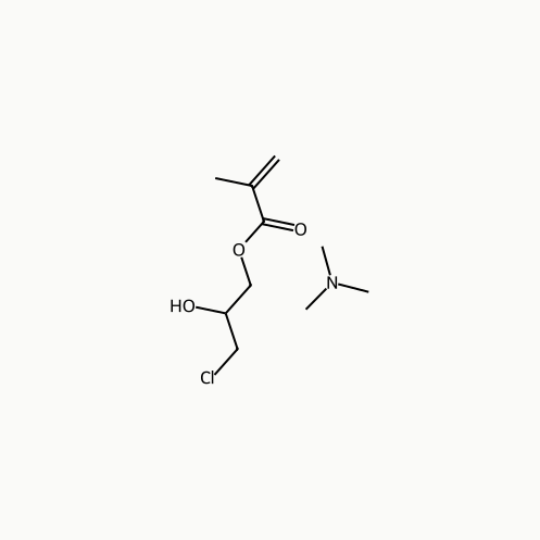 C=C(C)C(=O)OCC(O)CCl.CN(C)C